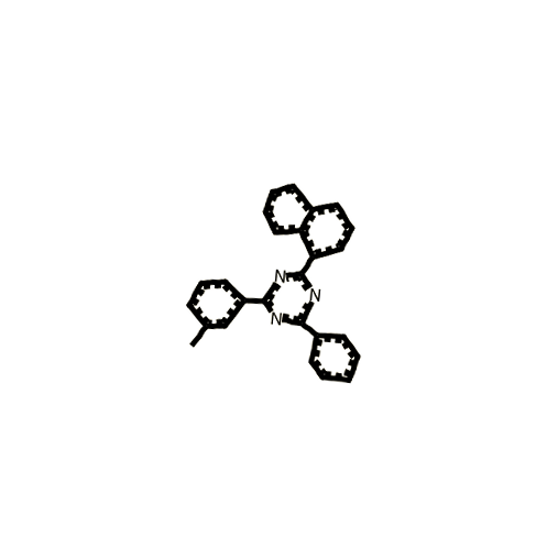 Cc1cccc(-c2nc(-c3ccccc3)nc(-c3cccc4ccccc34)n2)c1